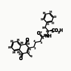 CC1=C(CCCC(=O)N[C@@H](Cc2ccccc2)C(=O)O)C(=O)c2ccccc2C1=O